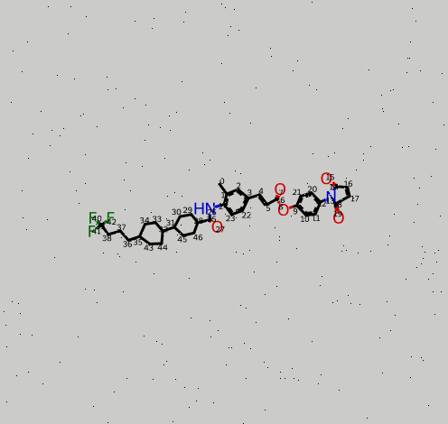 Cc1cc(/C=C/C(=O)Oc2ccc(N3C(=O)C=CC3=O)cc2)ccc1NC(=O)C1CCC(C2CCC(CCCC(F)(F)F)CC2)CC1